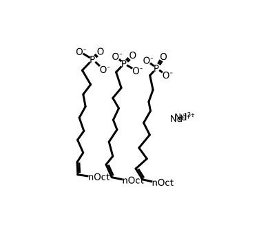 CCCCCCCC/C=C\CCCCCCCCP(=O)([O-])[O-].CCCCCCCC/C=C\CCCCCCCCP(=O)([O-])[O-].CCCCCCCC/C=C\CCCCCCCCP(=O)([O-])[O-].[Nd+3].[Nd+3]